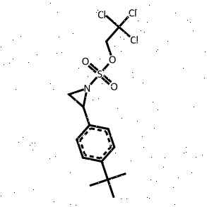 CC(C)(C)c1ccc(C2CN2S(=O)(=O)OCC(Cl)(Cl)Cl)cc1